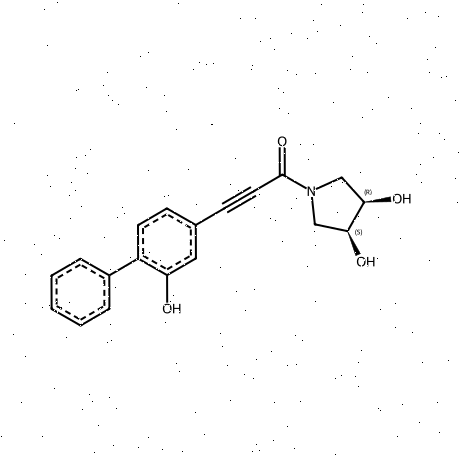 O=C(C#Cc1ccc(-c2ccccc2)c(O)c1)N1C[C@@H](O)[C@@H](O)C1